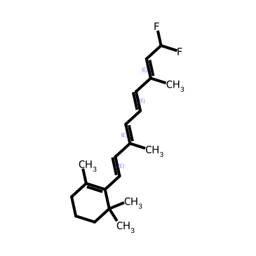 CC1=C(/C=C/C(C)=C/C=C/C(C)=C/C(F)F)C(C)(C)CCC1